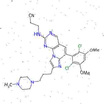 COc1cc(OC)c(Cl)c(-c2cc3cnc(NCCC#N)nc3n3cc(CCCN4CCN(C)CC4)nc23)c1Cl